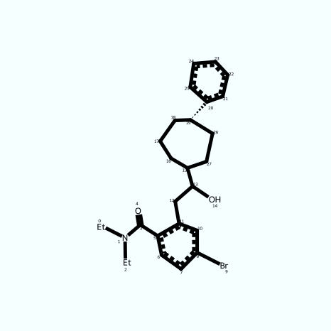 CCN(CC)C(=O)c1ccc(Br)cc1CC(O)C1CCC[C@H](c2ccccc2)CC1